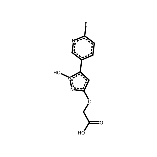 O=C(O)COc1cc(-c2ccc(F)nc2)n(O)n1